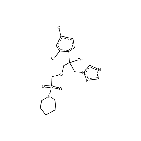 O=S(=O)(CSCC(O)(Cn1cncn1)c1ccc(Cl)cc1Cl)N1CCCCC1